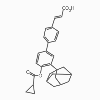 O=C(O)C=Cc1ccc(-c2ccc(OC(=O)C3CC3)c(C34CC5CC(CC(C5)C3)C4)c2)cc1